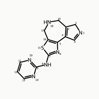 C1=NCC2=C1c1nc(Nc3ncccn3)sc1CNC2